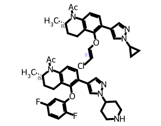 CC(=O)N1c2ccc(-c3cnn(C4CC4)c3)c(O/C=C/Cl)c2CC[C@@H]1C.CC(=O)N1c2ccc(-c3cnn(C4CCNCC4)c3)c(Oc3cc(F)ccc3F)c2CC[C@@H]1C